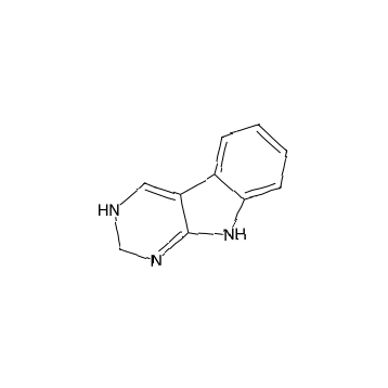 C1=c2c([nH]c3ccccc23)=NCN1